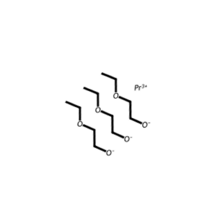 CCOCC[O-].CCOCC[O-].CCOCC[O-].[Pr+3]